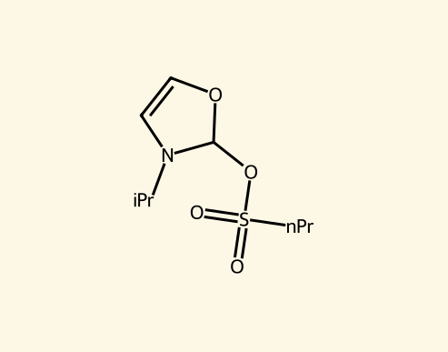 CCCS(=O)(=O)OC1OC=CN1C(C)C